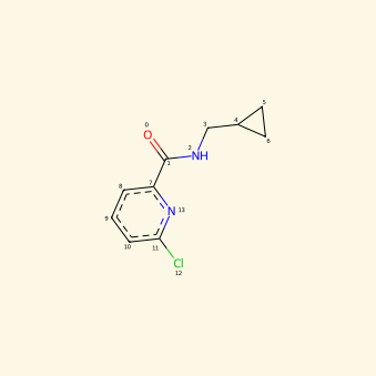 O=C(NCC1CC1)c1cccc(Cl)n1